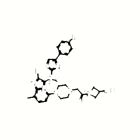 CCc1nc2c(C)ccc(N3CCN(CC(=O)N4CC(O)C4)CC3)n2c1N(C)c1nc(-c2ccc(F)cc2)cs1